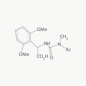 COc1cccc(OC)c1C(NC(=O)N(C)C(C)=O)C(=O)O